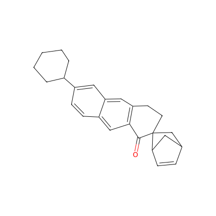 O=C1c2cc3ccc(C4CCCCC4)cc3cc2CCC12CC1C=CC2C1